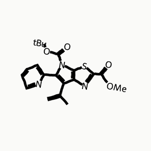 C=C(C)c1c(-c2ccccn2)n(C(=O)OC(C)(C)C)c2sc(C(=O)OC)nc12